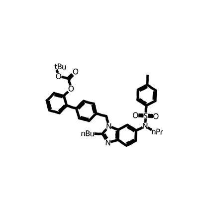 CCCCc1nc2ccc(N(CCC)S(=O)(=O)c3ccc(C)cc3)cc2n1Cc1ccc(-c2ccccc2OC(=O)OC(C)(C)C)cc1